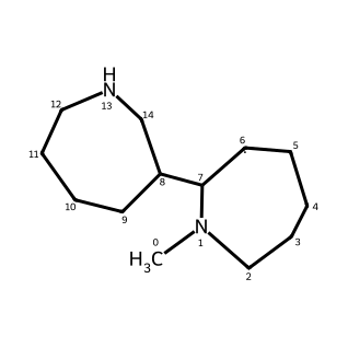 CN1CCCC[CH]C1C1CCCCNC1